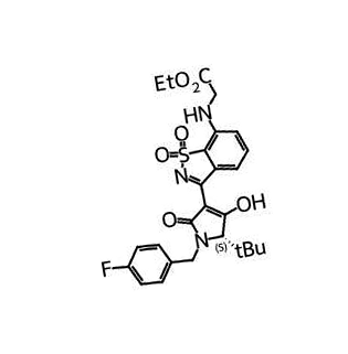 CCOC(=O)CNc1cccc2c1S(=O)(=O)N=C2C1=C(O)[C@H](C(C)(C)C)N(Cc2ccc(F)cc2)C1=O